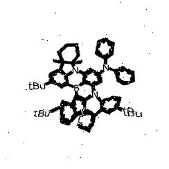 CC(C)(C)c1ccc(N2c3cc(N(c4ccccc4)c4ccccc4)cc4c3B(c3cc(C(C)(C)C)cc5c3N4C3(C)CCCCC53C)c3c2sc2ccc(C(C)(C)C)cc32)c(-c2ccccc2)c1